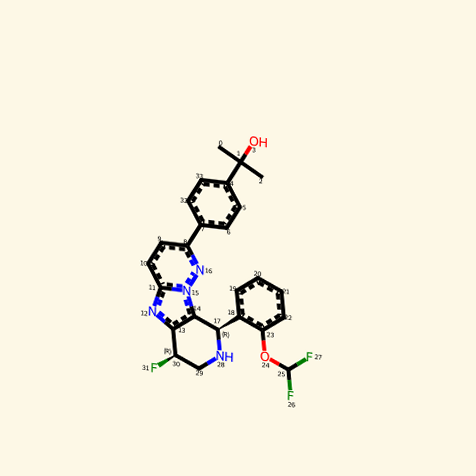 CC(C)(O)c1ccc(-c2ccc3nc4c(n3n2)[C@@H](c2ccccc2OC(F)F)NC[C@H]4F)cc1